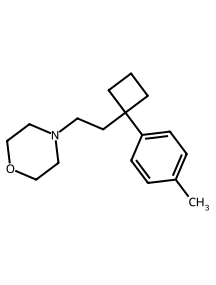 Cc1ccc(C2(CCN3CCOCC3)CCC2)cc1